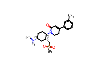 CCN(C(C)C)[C@@H]1CC[C@H](N2CCC(c3cccc(C(F)(F)F)c3)=CC2=O)[C@H](CS(=O)(=O)C(C)C)C1